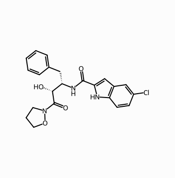 O=C(N[C@@H](Cc1ccccc1)[C@@H](O)C(=O)N1CCCO1)c1cc2cc(Cl)ccc2[nH]1